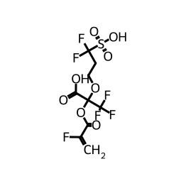 C=C(F)C(=O)OC(OCCC(F)(F)S(=O)(=O)O)(C(=O)O)C(F)(F)F